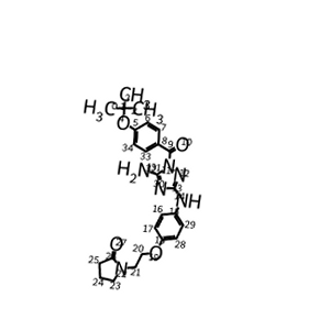 CC(C)(C)Oc1ccc(C(=O)n2nc(Nc3ccc(OCCN4CCCC4=O)cc3)nc2N)cc1